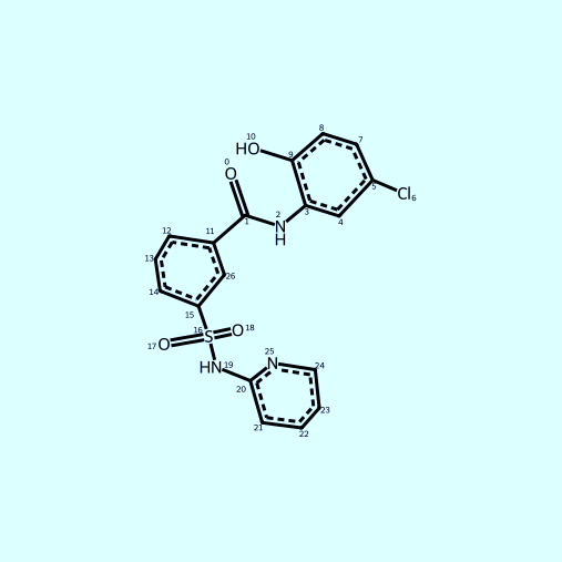 O=C(Nc1cc(Cl)ccc1O)c1cccc(S(=O)(=O)Nc2ccccn2)c1